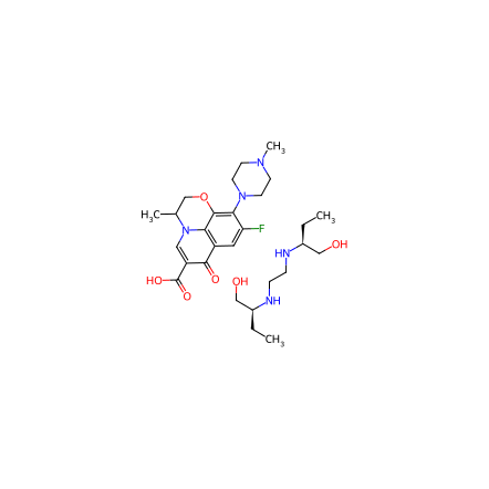 CC1COc2c(N3CCN(C)CC3)c(F)cc3c(=O)c(C(=O)O)cn1c23.CC[C@@H](CO)NCCN[C@@H](CC)CO